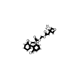 CC1(CC(=O)OCOC(=O)NC[C@@]2(c3ccccc3Cl)CCCCC2=O)COC1